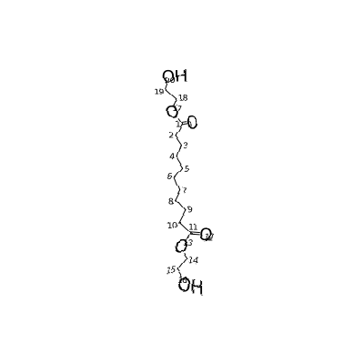 O=C(CCCCCCCCCC(=O)OCCO)OCCO